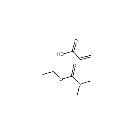 C=CC(=O)O.CCOC(=O)N(C)C